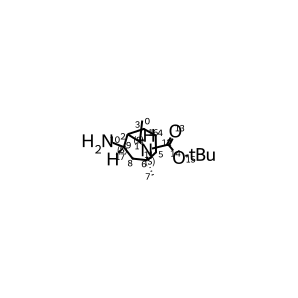 C[C@H]1C2CCC[C@@](C)(C[C@@H]2N)N1C(=O)OC(C)(C)C